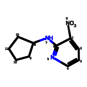 O=[N+]([O-])c1cccnc1NC1CCCC1